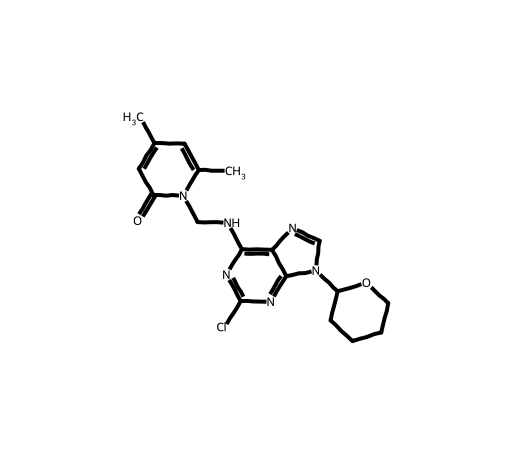 Cc1cc(C)n(CNc2nc(Cl)nc3c2ncn3C2CCCCO2)c(=O)c1